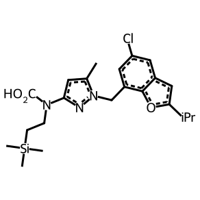 Cc1cc(N(CC[Si](C)(C)C)C(=O)O)nn1Cc1cc(Cl)cc2cc(C(C)C)oc12